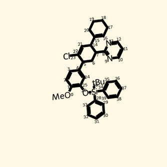 COc1ccc(C2CC(c3ncccn3)C(C3=CCCCC3)C=C2Cl)cc1O[Si](c1ccccc1)(c1ccccc1)C(C)(C)C